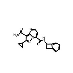 NC(=O)c1c(C2CC2)nn2c(C(=O)NC3Cc4ccccc43)ccnc12